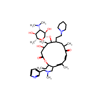 CCC1OC(=O)CC(O)C(C)C(O[C@@H]2O[C@H](C)[C@@H](O)[C@H](N(C)C)[C@H]2O)C(CCN2CCCCC2)CC(C)C(=O)C=CC(C)=CC1CN(C)Cc1cccnc1